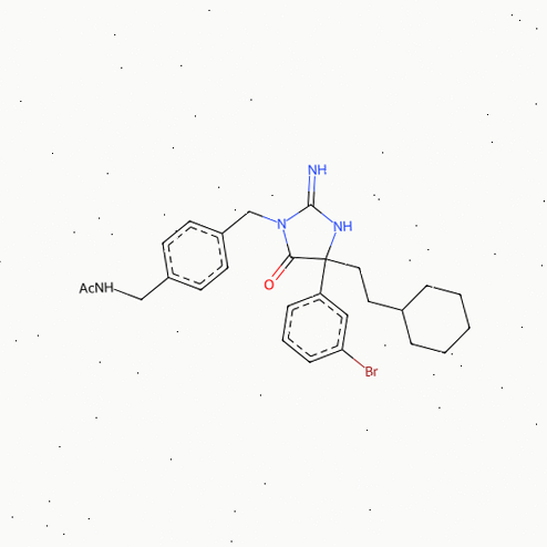 CC(=O)NCc1ccc(CN2C(=N)NC(CCC3CCCCC3)(c3cccc(Br)c3)C2=O)cc1